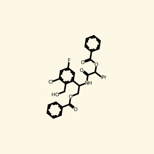 CC(C)C(OC(=O)c1ccccc1)C(=O)NC(COC(=O)c1ccccc1)c1cc(F)cc(Cl)c1CO